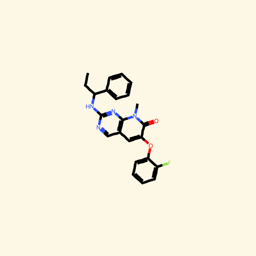 CCC(Nc1ncc2cc(Oc3ccccc3F)c(=O)n(C)c2n1)c1ccccc1